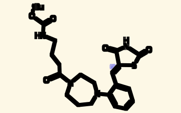 CC(C)(C)OC(=O)NCCCC(=O)N1CCCN(c2ccccc2/C=C2\SC(=O)NC2=O)CC1